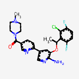 CC(Oc1cc(-c2ccc(C(=O)N3CCN(C)CC3)cn2)cnc1N)c1c(F)ccc(F)c1Cl